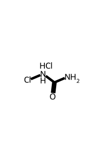 Cl.NC(=O)NCl